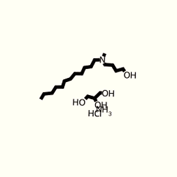 CCCCCCCCCCCCN(C)CCCCO.Cl.N.OCC(O)CO